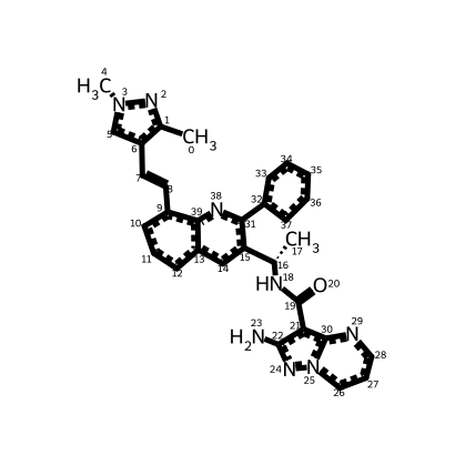 Cc1nn(C)cc1/C=C/c1cccc2cc([C@H](C)NC(=O)c3c(N)nn4cccnc34)c(-c3ccccc3)nc12